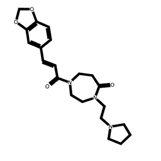 O=C(/C=C/c1ccc2c(c1)OCO2)N1CCC(=O)N(CCN2CCCC2)CC1